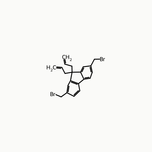 C=CCC1(CC=C)c2cc(CBr)ccc2-c2ccc(CBr)cc21